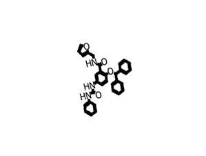 O=C(Nc1ccccc1)Nc1ccc(OC(c2ccccc2)c2ccccc2)c(C(=O)NCc2ccco2)c1